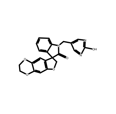 O=C1N(Cc2cnc(O)nc2)c2ccccc2C12COc1cc3c(cc12)OCCO3